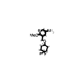 COc1ncc(N)cc1COC1CCC(F)(F)CC1